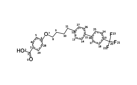 O=C(O)c1ccc(OCCCCc2ccc(-c3ccc(C(F)(F)F)cc3)cc2)cc1